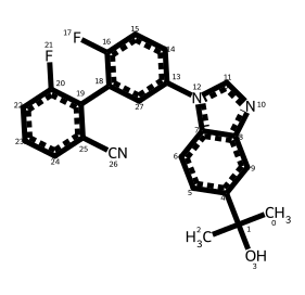 CC(C)(O)c1ccc2c(c1)ncn2-c1ccc(F)c(-c2c(F)cccc2C#N)c1